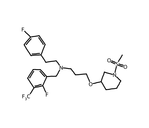 CS(=O)(=O)N1CCCC(OCCCN(CCc2ccc(F)cc2)Cc2cccc(C(F)(F)F)c2F)C1